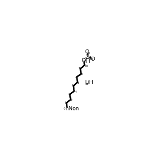 CCCCCCCCCCCCCCCCCCCO[SH](=O)=O.[LiH]